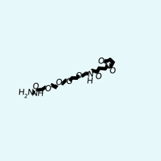 NNC(=O)CCOCCOCCOCCOCCNCC(=O)CCN1C(=O)CCC1=O